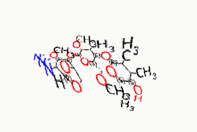 CC[C@@H]1O[C@H](O[C@H]2C(C)C(OC)[C@H](O[C@H]3C4CO[C@H](O4)C(N=[N+]=[N-])[C@@H]3OC)O[C@H]2COC)C(C)C(C)[C@@H]1O